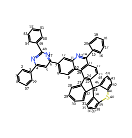 c1ccc(-c2cc(-c3ccc4c(c3)nc(-c3ccccc3)c3ccc5c(c34)-c3ccccc3C53c4ccccc4Sc4ccccc43)nc(-c3ccccc3)n2)cc1